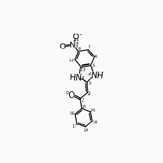 O=C(C=C1Nc2ccc([N+](=O)[O-])cc2N1)c1ccccc1